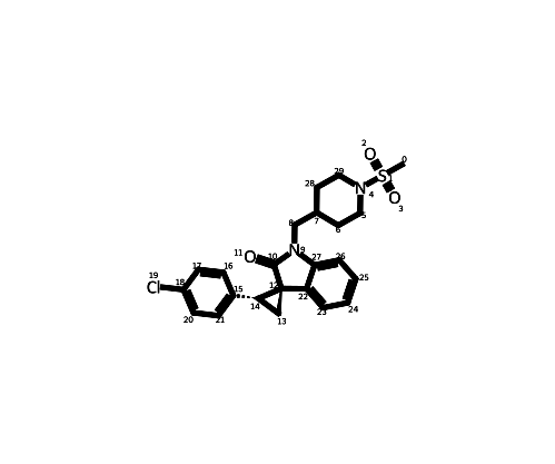 CS(=O)(=O)N1CCC(CN2C(=O)[C@]3(C[C@@H]3c3ccc(Cl)cc3)c3ccccc32)CC1